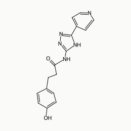 O=C(CCc1ccc(O)cc1)Nc1nnc(-c2ccncc2)[nH]1